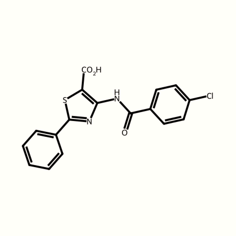 O=C(Nc1nc(-c2ccccc2)sc1C(=O)O)c1ccc(Cl)cc1